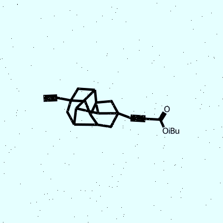 C#CC12CC3C4CC5(C#CC(=O)OCC(C)C)CC3C(C1)C(C4C2)C5C